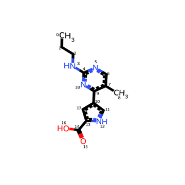 CCCNc1ncc(C)c(-c2c[nH]c(C(=O)O)c2)n1